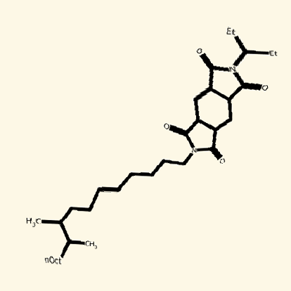 CCCCCCCCC(C)C(C)CCCCCCCCN1C(=O)C2CC3C(=O)N(C(CC)CC)C(=O)C3CC2C1=O